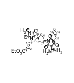 CCOC(=O)[C@@H]1C[C@H]1CCN1C(=O)N(C)C(=O)C12CC1(CCC(N3C(=O)C(=C(N)N)C(=O)N(CC4CCC4)C3=O)CC1)C2